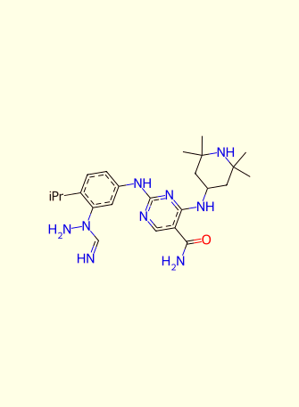 CC(C)c1ccc(Nc2ncc(C(N)=O)c(NC3CC(C)(C)NC(C)(C)C3)n2)cc1N(N)C=N